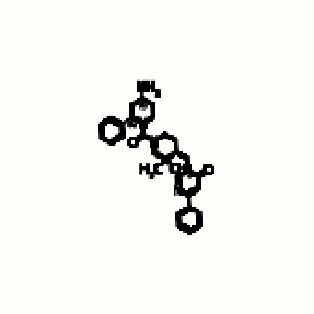 CC1(C)CN(C(=O)N2CC[C@@H](N)C[C@H]2c2ccccc2)CCC1Cn1cnc(-c2ccccc2)cc1=O